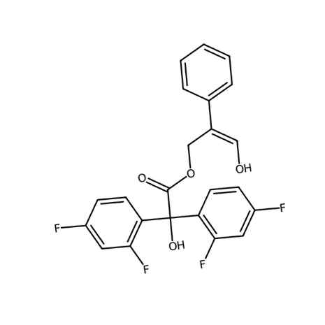 O=C(OCC(=CO)c1ccccc1)C(O)(c1ccc(F)cc1F)c1ccc(F)cc1F